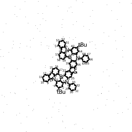 CC(C)(C)c1cc2c3c(c1)-n1c4ccccc4c4cccc(c41)B3c1cc3c(cc1N2c1ccccc1)sc1cc2c(cc13)B1c3c(cc(C(C)(C)C)cc3-n3c4ccccc4c4cccc1c43)N2c1ccccc1